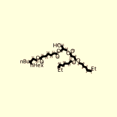 CC/C=C\CCCCOC(CCC(=O)OCC(CO)COC(=O)CCCCCC(=O)OCCC(CCCC)CCCCCC)OCCCC/C=C\CC